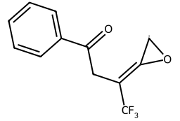 O=C(CC(=C1[CH]O1)C(F)(F)F)c1ccccc1